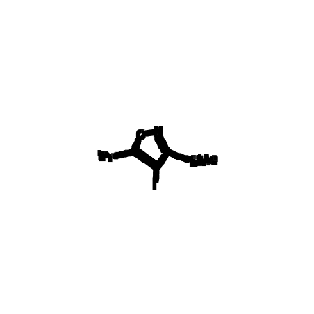 CSc1noc(C(C)C)c1I